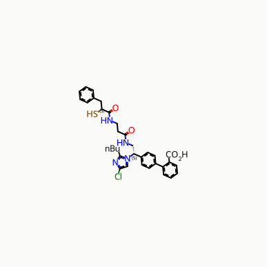 CCCCc1nc(Cl)cn1[C@H](CNC(=O)CCNC(=O)[C@@H](S)Cc1ccccc1)c1ccc(-c2ccccc2C(=O)O)cc1